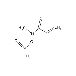 C=CC(=O)N(C)OC(C)=O